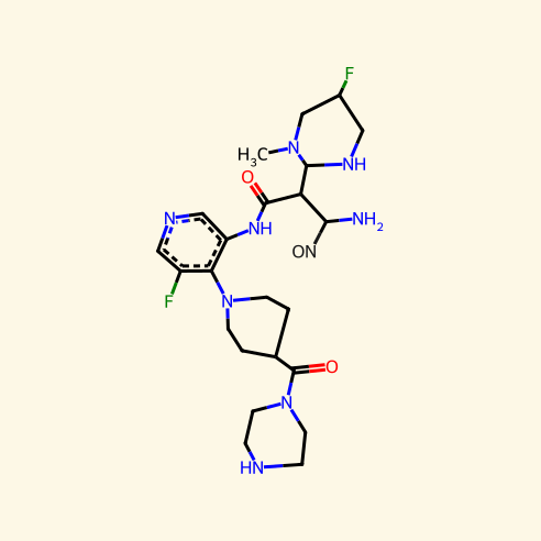 CN1CC(F)CNC1C(C(=O)Nc1cncc(F)c1N1CCC(C(=O)N2CCNCC2)CC1)C(N)N=O